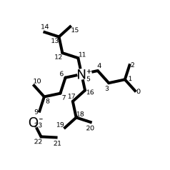 CC(C)CC[N+](CCC(C)C)(CCC(C)C)CCC(C)C.CC[O-]